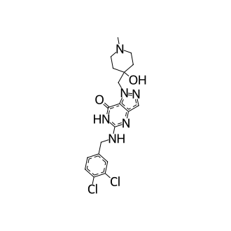 CN1CCC(O)(Cn2ncc3nc(NCc4ccc(Cl)c(Cl)c4)[nH]c(=O)c32)CC1